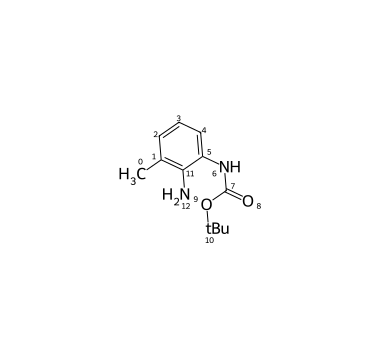 Cc1cccc(NC(=O)OC(C)(C)C)c1N